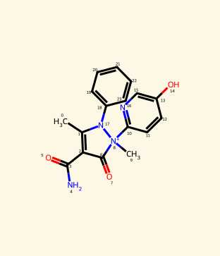 CC1=C(C(N)=O)C(=O)[N+](C)(c2ccc(O)cn2)N1c1ccccc1